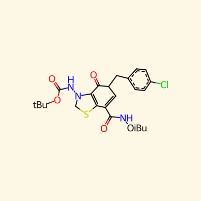 CC(C)CONC(=O)C1=CC(Cc2ccc(Cl)cc2)C(=O)C2=C1SCN2NC(=O)OC(C)(C)C